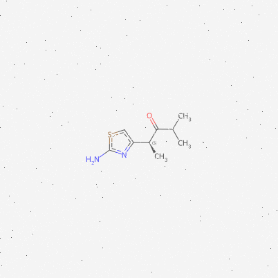 CC(C)C(=O)[C@@H](C)c1csc(N)n1